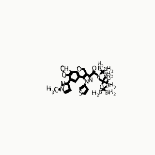 BC(B)(B)OC1(CN(C(=O)c2nn(-c3ccsc3)c3c2COc2cc(OC)c(-c4ccn(C)n4)cc2-3)C(B)(B)B)COC1